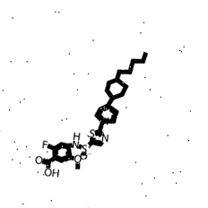 CCCCCC1CCC(c2ccc(-c3ncc([S+]([O-])Nc4cc(F)c(C(=O)O)cc4OC)s3)cc2)CC1